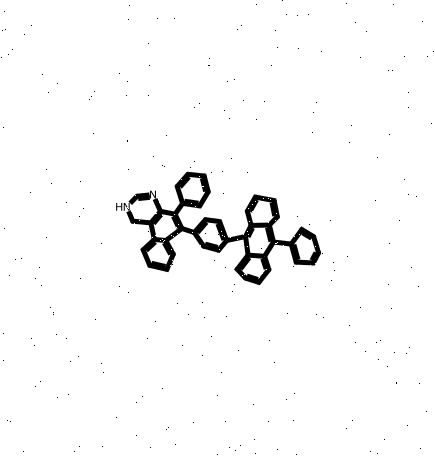 C1=Nc2c(-c3ccccc3)c(-c3ccc(-c4c5ccccc5c(-c5ccccc5)c5ccccc45)cc3)c3ccccc3c2CN1